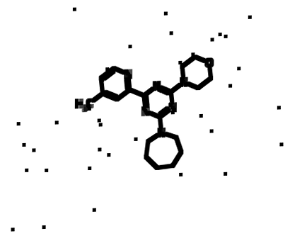 Cc1ccnc(-c2nc(N3CCCCCC3)nc(N3CCOCC3)n2)c1